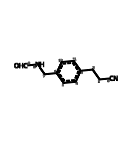 N#CCCc1ccc(CNC=O)cc1